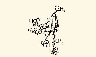 CCC(SCCS(=O)(=O)O)C1(C)OC(CC(SCCS(=O)(=O)O)C2CC(C(C)SCCS(=O)(=O)O)CC2C(F)(F)C(F)(F)C(F)(F)C(F)(F)C(F)(F)C(F)(F)F)C2C(=O)N(CCOCCOCCOC)C(=O)C21